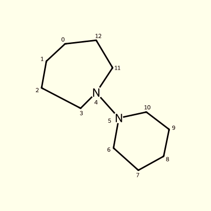 C1CCCN(N2CCCCC2)CC1